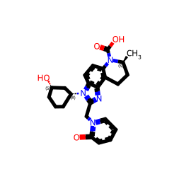 C[C@H]1CCc2c(ccc3c2nc(Cn2ccccc2=O)n3[C@@H]2CCC[C@H](O)C2)N1C(=O)O